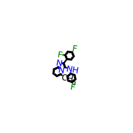 Cc1cccc2nc(-c3ccc(F)cc3F)c(Nc3ccc(F)cc3)n12